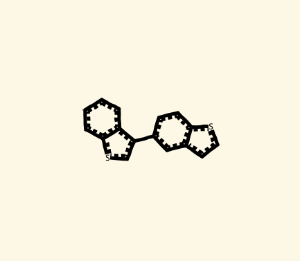 [c]1ccc2c(-c3ccc4sccc4c3)csc2c1